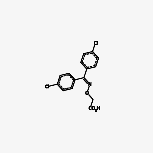 O=C(O)CON=C(c1ccc(Cl)cc1)c1ccc(Cl)cc1